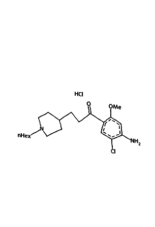 CCCCCCN1CCC(CCC(=O)c2cc(Cl)c(N)cc2OC)CC1.Cl